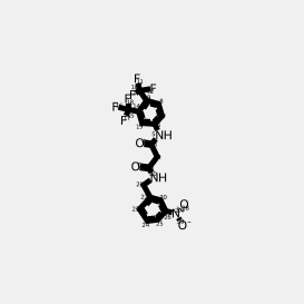 O=C(CC(=O)Nc1ccc(C(F)(F)F)c(C(F)(F)F)c1)NCc1cccc([N+](=O)[O-])c1